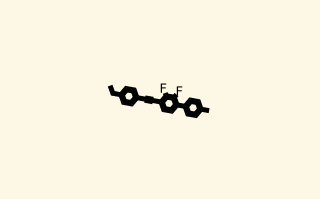 CCc1ccc(C#Cc2ccc(-c3ccc(C)cc3)c(F)c2F)cc1